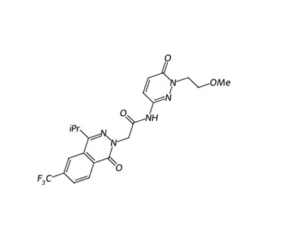 COCCn1nc(NC(=O)Cn2nc(C(C)C)c3cc(C(F)(F)F)ccc3c2=O)ccc1=O